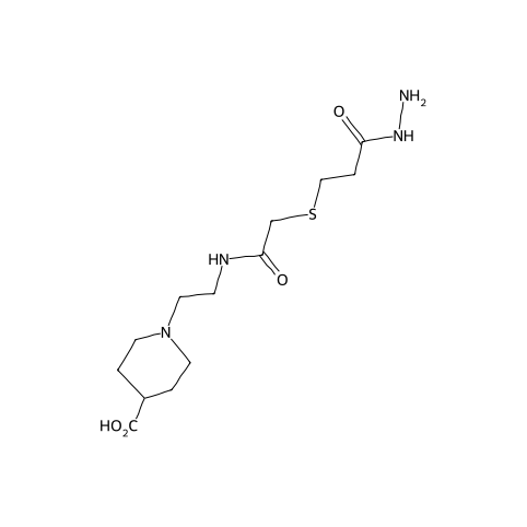 NNC(=O)CCSCC(=O)NCCN1CCC(C(=O)O)CC1